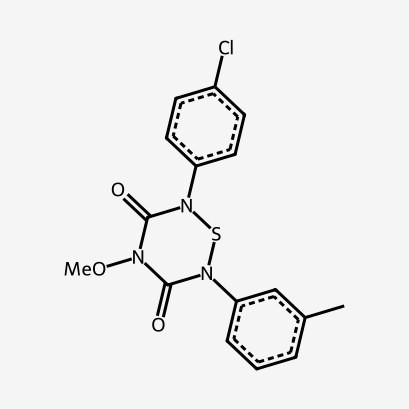 CON1C(=O)N(c2ccc(Cl)cc2)SN(c2cccc(C)c2)C1=O